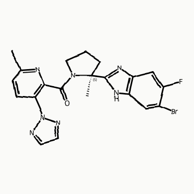 Cc1ccc(-n2nccn2)c(C(=O)N2CCC[C@@]2(C)c2nc3cc(F)c(Br)cc3[nH]2)n1